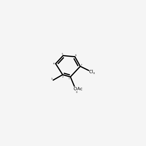 CC(=O)Oc1c(C)cccc1Cl